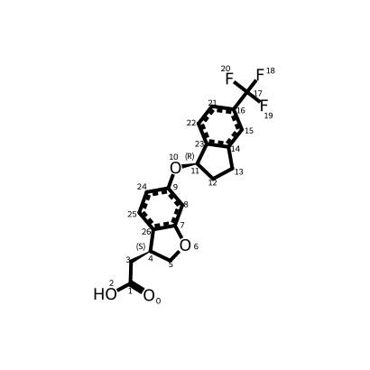 O=C(O)C[C@@H]1COc2cc(O[C@@H]3CCc4cc(C(F)(F)F)ccc43)ccc21